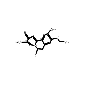 CCC1Cc2cc(OCC=O)c(OC)cc2-c2cc(=O)c(C(=O)O)cn21